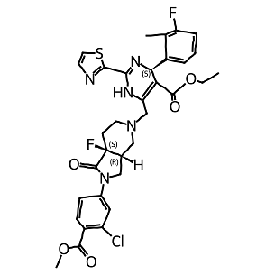 CCOC(=O)C1=C(CN2CC[C@@]3(F)C(=O)N(c4ccc(C(=O)OC)c(Cl)c4)C[C@H]3C2)NC(c2nccs2)=N[C@H]1c1cccc(F)c1C